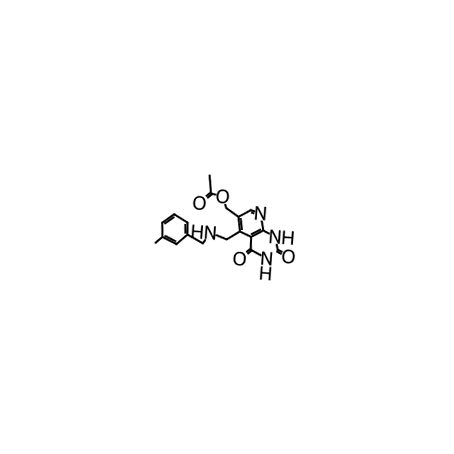 CC(=O)OCc1cnc2[nH]c(=O)[nH]c(=O)c2c1CNCc1cccc(C)c1